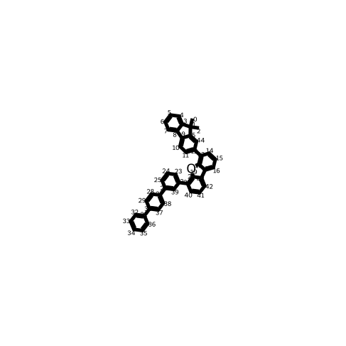 CC1(C)c2ccccc2-c2ccc(-c3cccc4c3oc3c(-c5cccc(-c6ccc(-c7ccccc7)cc6)c5)cccc34)cc21